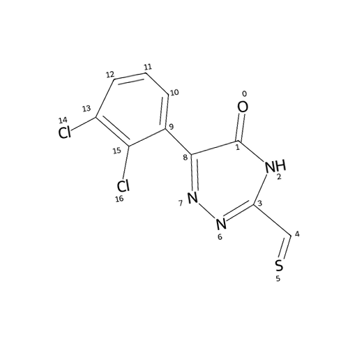 O=c1[nH]c(C=S)nnc1-c1cccc(Cl)c1Cl